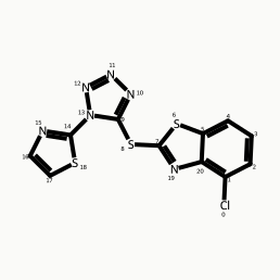 Clc1cccc2sc(Sc3nnnn3-c3nccs3)nc12